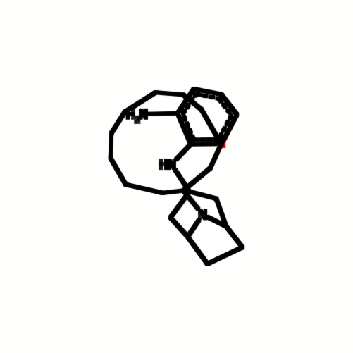 Nc1ccccc1NC1CC2CCC(C1)N2C1CCCCCCCCCC1